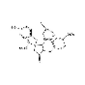 COC(=O)[C@@]1(Sc2ccc(C)cc2)CC(=O)N(Cc2ccc(OC)cc2OC)C1c1cccc(F)c1